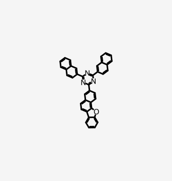 c1ccc2cc(-c3nc(-c4ccc5ccccc5c4)nc(-c4ccc5c(ccc6c7ccccc7oc56)c4)n3)ccc2c1